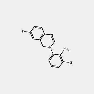 Cc1c(Cl)cccc1N1C=Nc2ccc(F)cc2C1